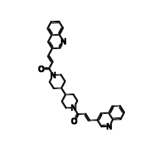 O=C(C=Cc1cnc2ccccc2c1)N1CCC(C2CCN(C(=O)C=Cc3cnc4ccccc4c3)CC2)CC1